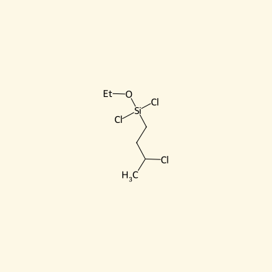 CCO[Si](Cl)(Cl)CCC(C)Cl